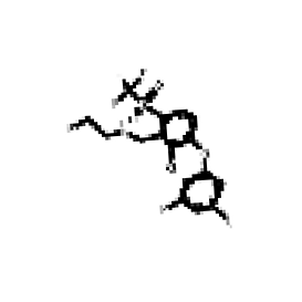 O=S(=O)(c1ccc(Oc2cc(F)cc(Cl)c2)c(Cl)c1CNCCF)C(F)(F)F